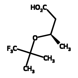 C[C@H](CC(=O)O)OC(C)(C)C(F)(F)F